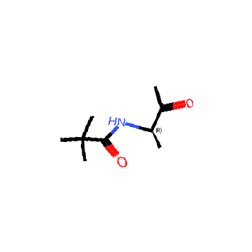 CC(=O)[C@@H](C)NC(=O)C(C)(C)C